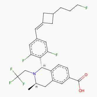 C[C@@H]1Cc2cc(C(=O)O)ccc2[C@@H](c2c(F)cc(C=C3CC(CCCF)C3)cc2F)N1CC(F)(F)F